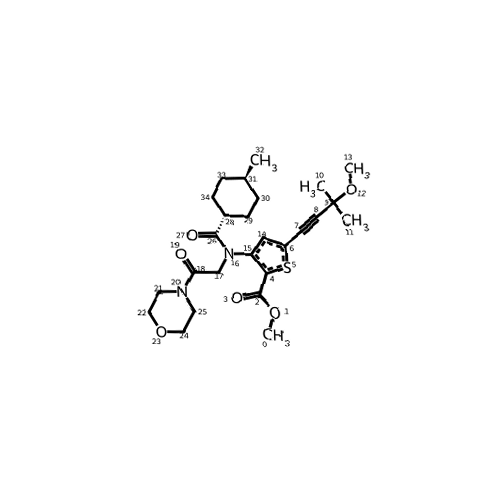 COC(=O)c1sc(C#CC(C)(C)OC)cc1N(CC(=O)N1CCOCC1)C(=O)[C@H]1CC[C@H](C)CC1